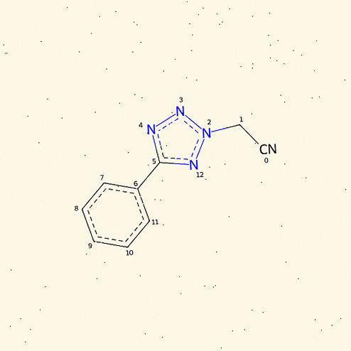 N#CCn1nnc(-c2ccccc2)n1